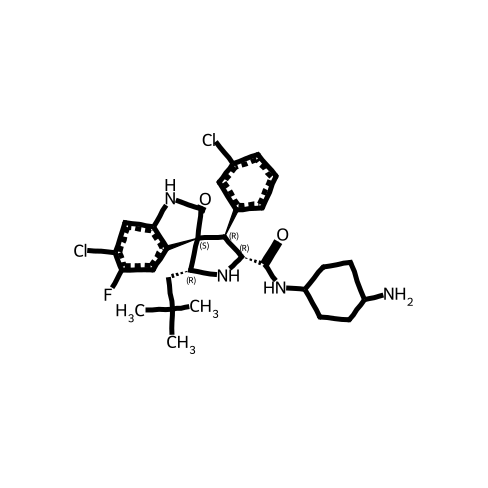 CC(C)(C)C[C@H]1N[C@@H](C(=O)NC2CCC(N)CC2)[C@H](c2cccc(Cl)c2)[C@@]12C(=O)Nc1cc(Cl)c(F)cc12